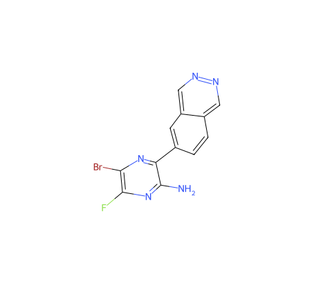 Nc1nc(F)c(Br)nc1-c1ccc2cnncc2c1